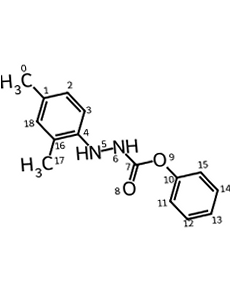 Cc1ccc(NNC(=O)Oc2ccccc2)c(C)c1